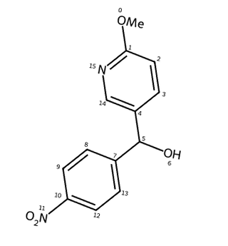 COc1ccc(C(O)c2ccc([N+](=O)[O-])cc2)cn1